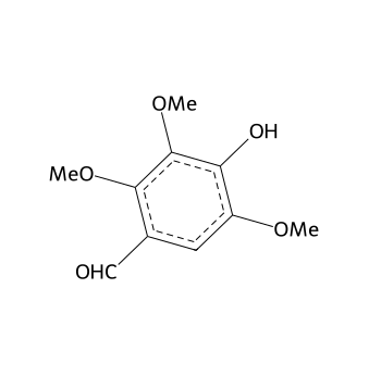 COc1cc(C=O)c(OC)c(OC)c1O